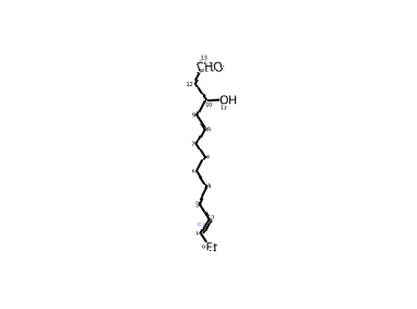 CC/C=C/CCCCCCCC(O)C[C]=O